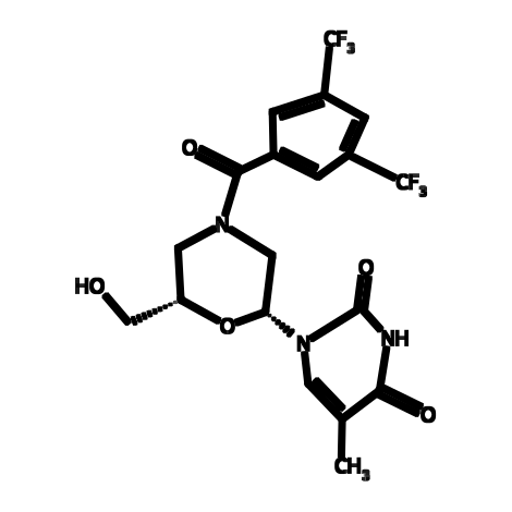 Cc1cn([C@H]2CN(C(=O)c3cc(C(F)(F)F)cc(C(F)(F)F)c3)C[C@@H](CO)O2)c(=O)[nH]c1=O